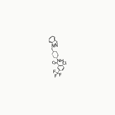 O=C(N[C@H]1CC[C@H](Cn2ncc3ccccc32)CC1)c1cc(C(F)(F)F)ccc1Cl